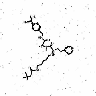 C[C@H](NC(=O)[C@@H](CCc1ccccc1)NCCCCCNC(=O)OC(C)(C)C)C(=O)NCc1ccc(C(=N)N)cc1